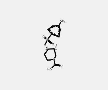 Cc1ccc(S(=O)(=O)O[C@H]2CCN(C(=O)O)C[C@H]2F)cc1